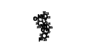 NC(=O)C1=CC(Cc2ccccc2)(N2CCN(Cc3ccc(F)cc3)C2=O)NC=C1